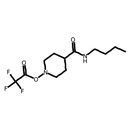 CCCCNC(=O)C1CCN(OC(=O)C(F)(F)F)CC1